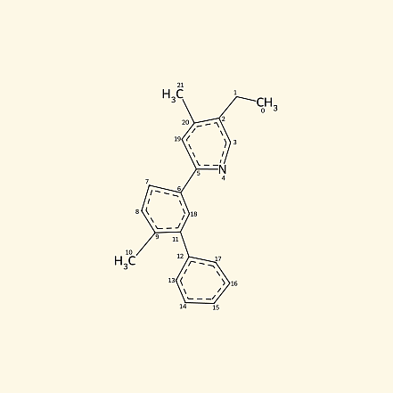 CCc1cnc(-c2ccc(C)c(-c3ccccc3)c2)cc1C